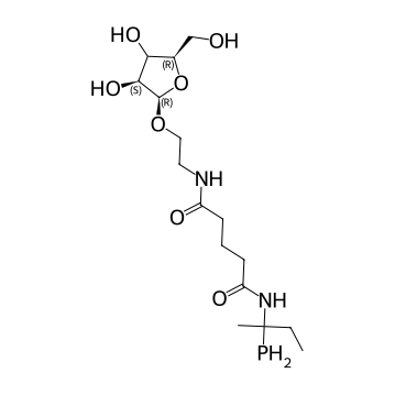 CCC(C)(P)NC(=O)CCCC(=O)NCCO[C@@H]1O[C@H](CO)C(O)[C@@H]1O